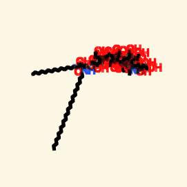 CCCCCCCCCCCCC/C=C/[C@@H](O)[C@H](CO[C@@H]1OC(CO)[C@@H](O[C@@H]2OC(CO)[C@H](O)[C@H](O[C@]3(C(=O)O)CC(O)[C@@H](NC(C)=O)C([C@H](O)[C@@H](CO)O[C@]4(C(=O)O)CC(O)[C@@H](NC(C)=O)C([C@H](O)[C@H](O)CO)O4)O3)C2O)[C@H](O)C1O)NC(=O)CCCCCCCCCCCCCCCCCCCCCCCCC